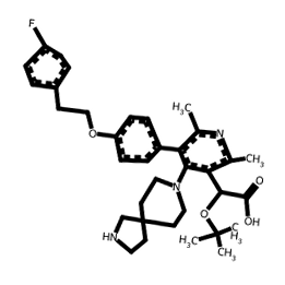 Cc1nc(C)c(C(OC(C)(C)C)C(=O)O)c(N2CCC3(CCNC3)CC2)c1-c1ccc(OCCc2ccc(F)cc2)cc1